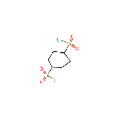 O=S(=O)(Cl)C1CCC(S(=O)(=O)Cl)CC1